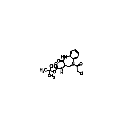 CC(C)(C)OC(=O)NC1CN(C(=O)CCl)c2ccccc2NC1=O